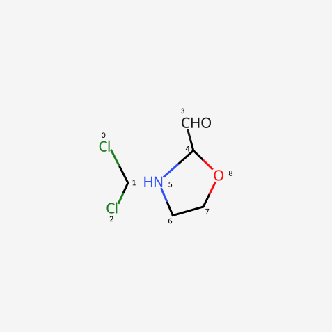 ClCCl.O=CC1NCCO1